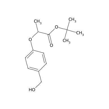 CC(Oc1ccc(CO)cc1)C(=O)OC(C)(C)C